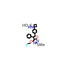 CSc1nc(OCCF)c2c(-c3ccccc3)c(-c3ccc(C4(NC(=O)O)CCC4)cc3)oc2n1